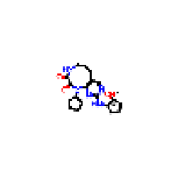 C[C@]1(O)CCCC1Nc1ncc2c(n1)N(C1CCCC1)C(=O)C(=O)NCCC2